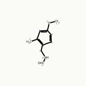 Cc1cc(OC(F)(F)F)ccc1CNC=O